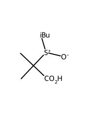 CCC(C)[S+]([O-])C(C)(C)C(=O)O